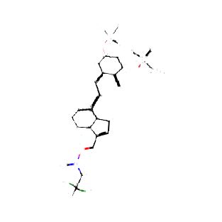 C=C1C(=CC=C2CCC[C@]3(C)C([C@H](C)ON(CC(F)(F)C(F)(F)F)C(C)=O)=CCC23)C[C@@H](O[Si](C)(C)C(C)(C)C)C[C@@H]1O[Si](C)(C)C(C)(C)C